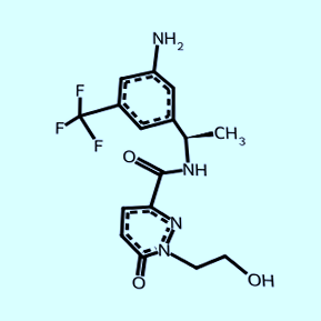 C[C@@H](NC(=O)c1ccc(=O)n(CCO)n1)c1cc(N)cc(C(F)(F)F)c1